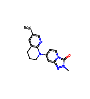 CCOC(=O)c1cnc2c(c1)CCCN2c1ccn2c(=O)n(C)nc2c1